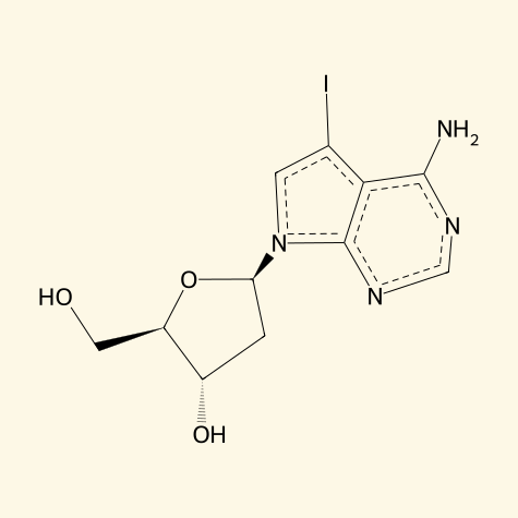 Nc1ncnc2c1c(I)cn2[C@H]1C[C@H](O)[C@@H](CO)O1